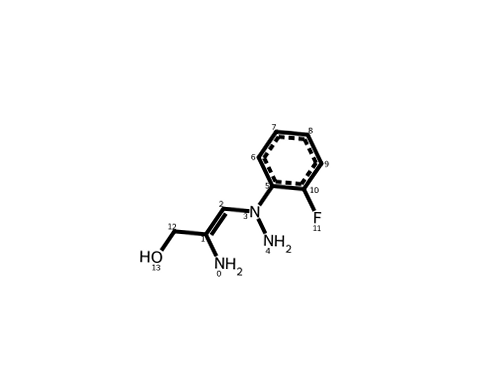 N/C(=C\N(N)c1ccccc1F)CO